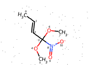 C/C=C/C(OC)(OC)[N+](=O)[O-]